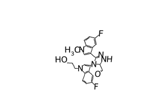 Cn1cc(C2=NNC(C=O)N2c2cn(CCCO)c3ccc(F)cc23)c2cc(F)ccc21